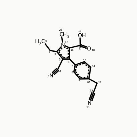 CCc1c(C#N)c(-c2ccc(CC#N)cc2)c(C(=O)O)n1C